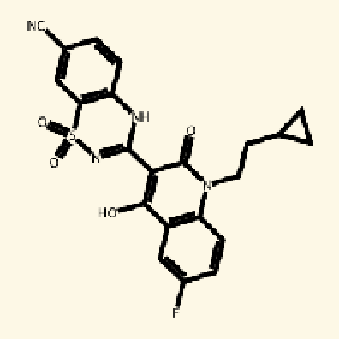 N#Cc1ccc2c(c1)S(=O)(=O)N=C(c1c(O)c3cc(F)ccc3n(CCC3CC3)c1=O)N2